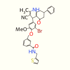 COc1cc(C2C(C#N)=C(C)NC3=C2C(=O)CC(c2ccccc2)C3)cc(Br)c1OCc1cccc(C(=O)NCc2cccs2)c1